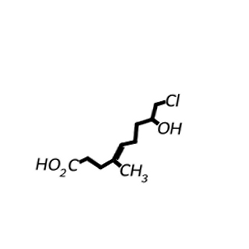 CC(=CCCC(O)CCl)CCC(=O)O